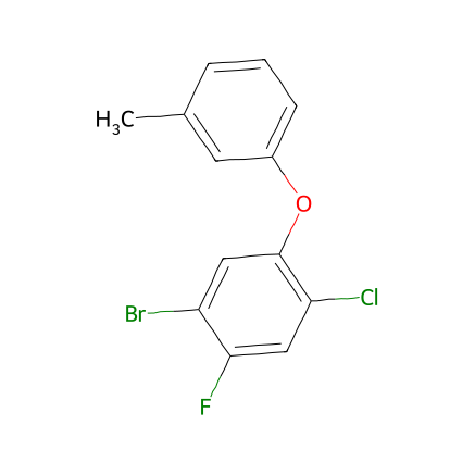 Cc1cccc(Oc2cc(Br)c(F)cc2Cl)c1